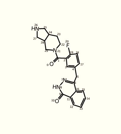 O=C(c1cc(Cc2n[nH]c(=O)c3ccccc23)ccc1F)N1CCC2CNCC2C1